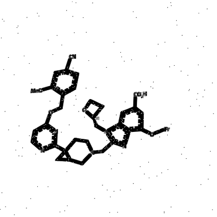 COc1cc(C#N)ccc1COc1ccnc(C23CCN(Cc4nc5c(OC(C)C)cc(C(=O)O)cc5n4C[C@@H]4CCO4)CC2C3)n1